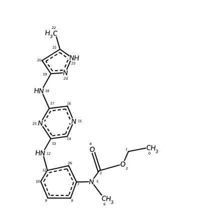 CCOC(=O)N(C)c1cccc(Nc2cncc(Nc3cc(C)[nH]n3)n2)c1